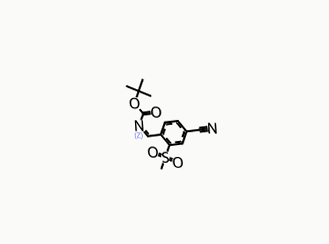 CC(C)(C)OC(=O)/N=C\c1ccc(C#N)cc1S(C)(=O)=O